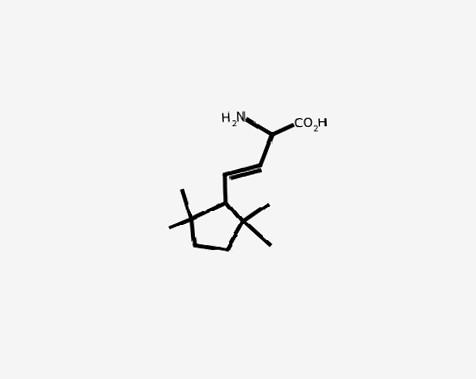 CC1(C)CCC(C)(C)C1/C=C/C(N)C(=O)O